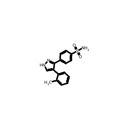 Cc1ccccc1-c1c[nH]nc1-c1ccc(S(N)(=O)=O)cc1